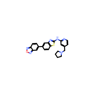 c1cc(CN2CCCC2)cc(Nc2nc3cc(-c4ccc5nonc5c4)ccc3s2)n1